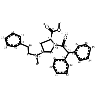 COC(=O)[C@@H]1C[C@H](N(C)CCc2ccccc2)CN1C(=O)C(c1ccccc1)c1ccccc1